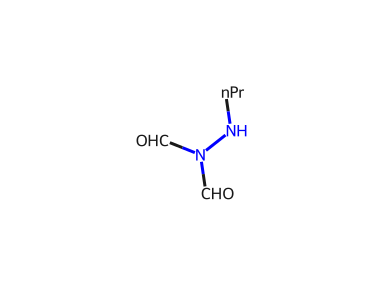 CCCNN(C=O)C=O